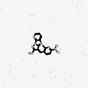 CCN(CC)c1ccc(/C=c2/c(C(C)(C)C)nn3c2nc2cccnc23)c(C)n1